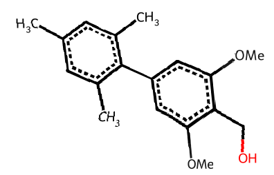 COc1cc(-c2c(C)cc(C)cc2C)cc(OC)c1CO